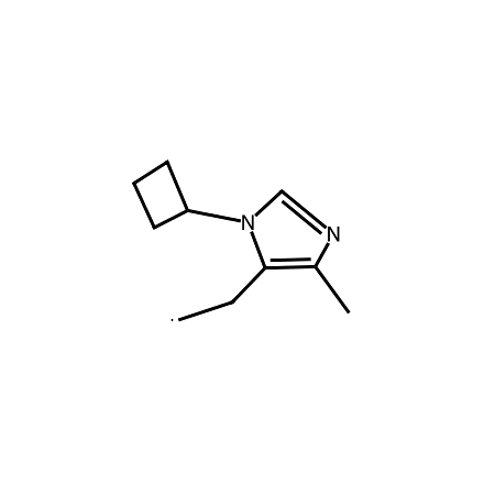 [CH2]Cc1c(C)ncn1C1CCC1